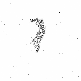 C=C(C)[C@@H]1CC[C@]2(CC(=O)C=[N+]=[N-])CC[C@]3(C)C(CCC4[C@@]5(C)CC[C@H](OC(=O)CC(C)(C)CC(=O)OC)C(C)(C)C5CC[C@]43C)C12